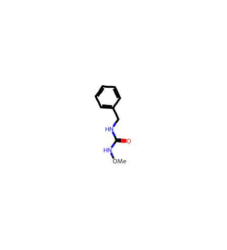 CONC(=O)NCc1ccccc1